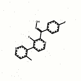 Cc1ccncc1-c1ccnc(C(=NO)c2ccc(F)cc2)c1F